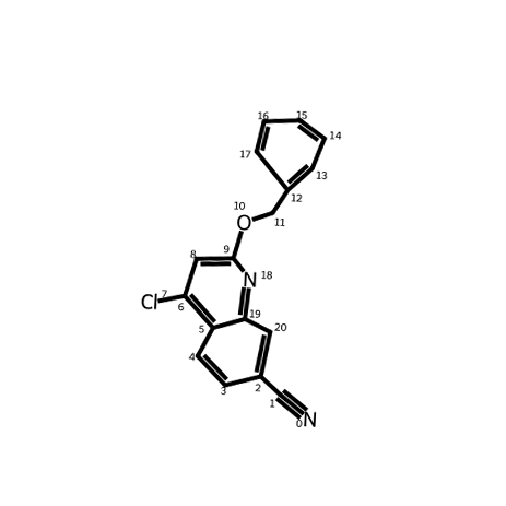 N#Cc1ccc2c(Cl)cc(OCc3ccccc3)nc2c1